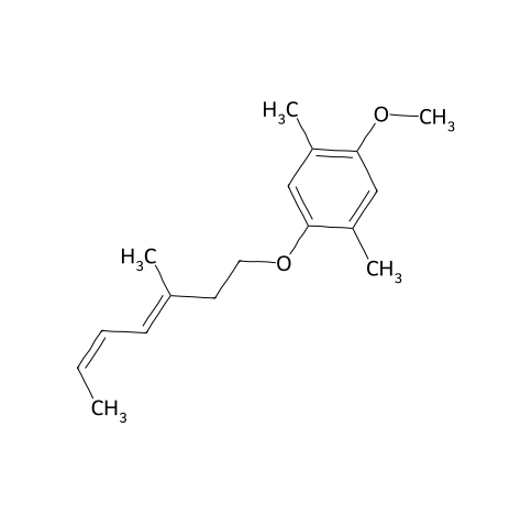 C/C=C\C=C(/C)CCOc1cc(C)c(OC)cc1C